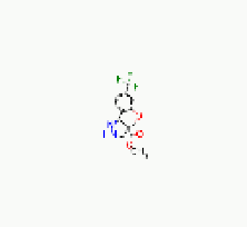 COC(=O)C12CNN=C1c1ccc(C(F)(F)F)cc1OC2